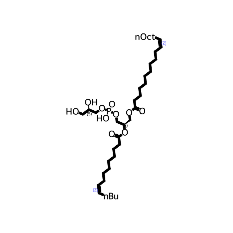 CCCC/C=C\CCCCCCCC(=O)O[C@H](COC(=O)CCCCCCCCC/C=C\CCCCCCCC)COP(=O)(O)OC[C@@H](O)CO